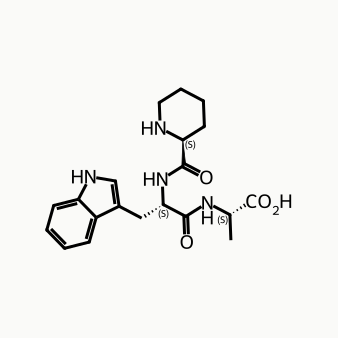 C[C@H](NC(=O)[C@H](Cc1c[nH]c2ccccc12)NC(=O)[C@@H]1CCCCN1)C(=O)O